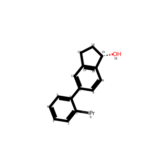 CC(C)c1ccccc1-c1ccc2c(c1)CC[C@@H]2O